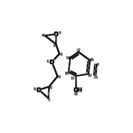 C(OCC1CO1)C1CO1.C=C.Oc1ccccc1